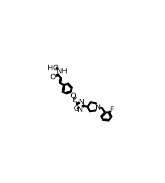 O=C(C=Cc1ccc(OCc2nc(C3CCN(Cc4ccccc4F)CC3)no2)cc1)NO